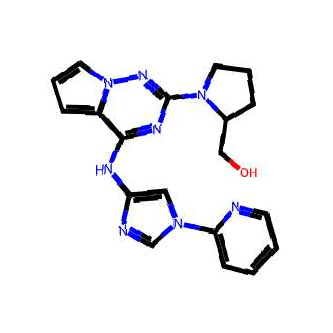 OCC1CCCN1c1nc(Nc2cn(-c3ccccn3)cn2)c2cccn2n1